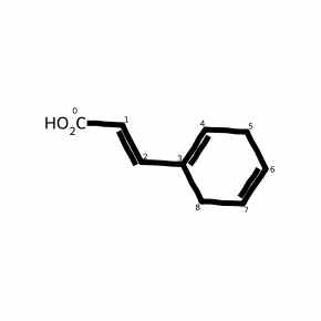 O=C(O)C=CC1=CCC=CC1